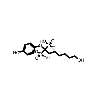 O=P(O)(O)C(CCCCCCO)(Oc1ccc(O)cc1)P(=O)(O)O